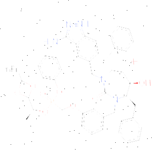 CCCC1OC([C@H](C)OP(=O)(COc2cccc(CN3C(=O)N(Cc4ccc5[nH]nc(N)c5c4)[C@H](Cc4ccccc4)[C@H](O)[C@@H](O)[C@H]3Cc3ccccc3)c2)Oc2ccccc2)O1